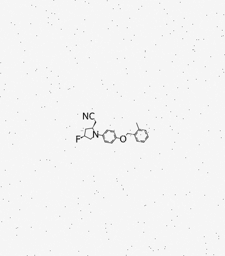 Cc1ccccc1COc1ccc(N2C[C@@H](F)C[C@H]2CC#N)cc1